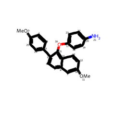 COc1ccc(-c2ccc3cc(OC)ccc3c2Oc2ccc(N)cc2)cc1